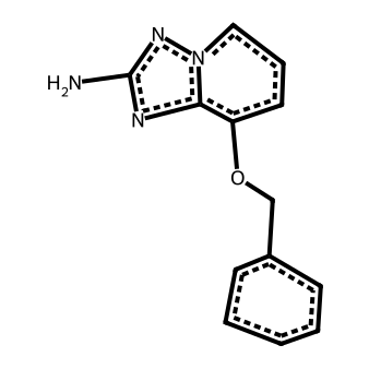 Nc1nc2c(OCc3ccccc3)cccn2n1